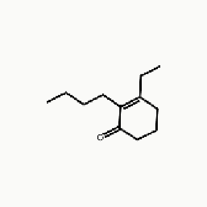 CCCCC1=C(CC)CCCC1=O